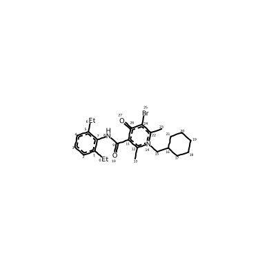 CCc1cccc(CC)c1NC(=O)c1c(C)n(CC2CCCCC2)c(C)c(Br)c1=O